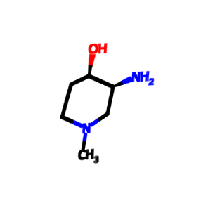 CN1CC[C@@H](O)[C@@H](N)C1